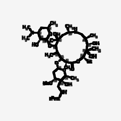 CCCCCNC[C@]1(O)[C@H](C)O[C@@H](O[C@@H]2[C@@H](C)[C@@H](O[C@@H]3O[C@H](C)C[C@H](N(C)C)[C@H]3O)[C@](C)(O)C[C@@H](C)NC[C@@H](C)[C@H](O)[C@](C)(O)[C@H](CC)OC(=O)[C@@H]2C)C[C@H]1OC